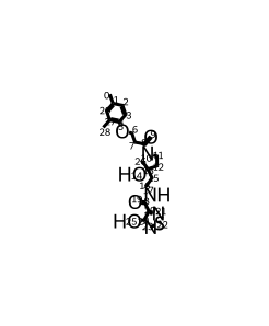 Cc1ccc(OCCC(=O)N2CCC(O)(CCNC(=O)c3nsnc3O)C2)c(C)c1